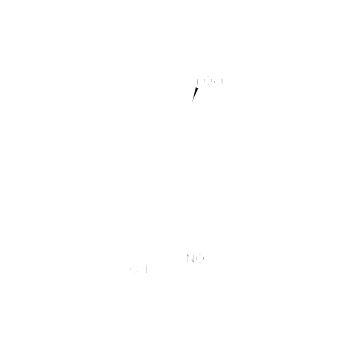 CCCCCCCC[C@H]1CC[C@H](c2ccc(O)c([N+](=O)[O-])c2)CC1